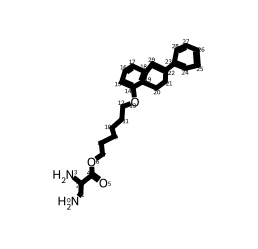 NCC(N)C(=O)OCCCCCCOc1cccc2c1CCC(c1ccccc1)=C2